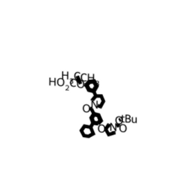 CC(C)(C)OC(=O)N1CCC(Oc2ccc(C(=O)N3CCCC(c4cccc(OC(C)(C)C(=O)O)c4)C3)cc2C2CCCCC2)C1